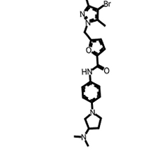 Cc1nn(Cc2ccc(C(=O)Nc3ccc(N4CCC(N(C)C)C4)cc3)o2)c(C)c1Br